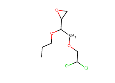 CCCOC([SiH2]OCC(Cl)Cl)C1CO1